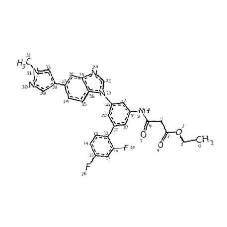 CCOC(=O)CC(=O)Nc1cc(-c2ccc(F)cc2F)cc(-n2cnc3cc(-c4cnn(C)c4)ccc32)c1